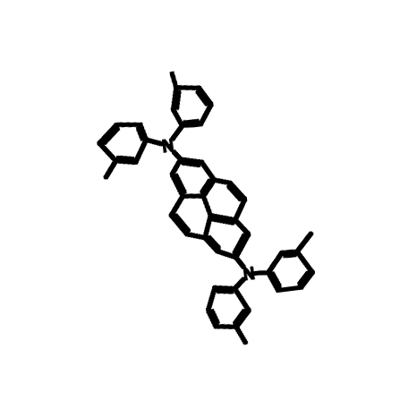 Cc1cccc(N(c2cccc(C)c2)c2cc3ccc4cc(N(c5cccc(C)c5)c5cccc(C)c5)cc5ccc(c2)c3c45)c1